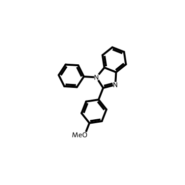 COc1ccc(-c2nc3ccccc3n2-c2ccccc2)cc1